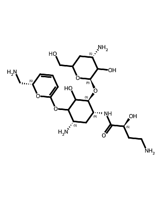 NCC[C@H](O)C(=O)N[C@@H]1C[C@H](N)C(OC2=CC=C[C@@H](CN)O2)C(O)[C@H]1O[C@H]1OC(CO)C[C@H](N)C1O